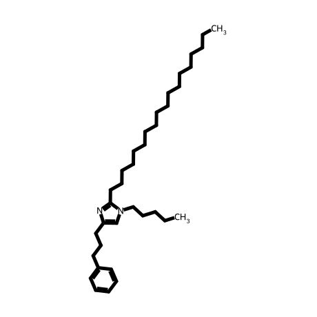 CCCCCCCCCCCCCCCCCCc1nc(CCCc2ccccc2)cn1CCCCC